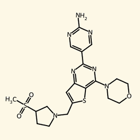 CS(=O)(=O)C1CCN(Cc2cc3nc(-c4cnc(N)nc4)nc(N4CCOCC4)c3s2)C1